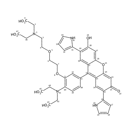 O=C(O)CN(CCOCCOc1cc(-c2c3cc(-c4ccc[nH]4)c(=O)cc-3oc3cc(O)c(-c4ccc[nH]4)cc23)ccc1N(CC(=O)O)CC(=O)O)CC(=O)O